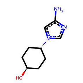 Nc1cn([C@H]2CC[C@H](O)CC2)cn1